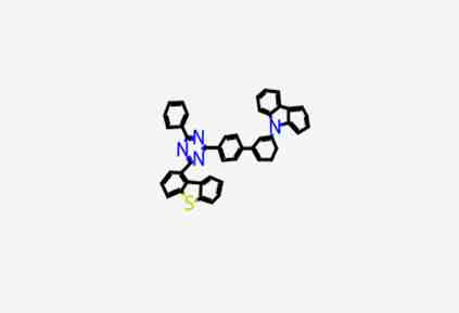 C1=C(c2ccc(-c3nc(-c4ccccc4)nc(-c4cccc5sc6ccccc6c45)n3)cc2)C=C(n2c3ccccc3c3ccccc32)CC1